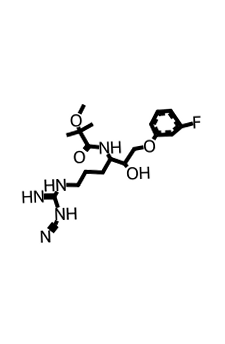 COC(C)(C)C(=O)NC(CCCNC(=N)NC#N)C(O)COc1cccc(F)c1